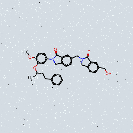 COc1ccc(N2Cc3ccc(CN4Cc5ccc(CO)cc5C4=O)cc3C2=O)cc1OC(C)CCc1ccccc1